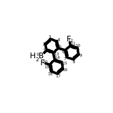 Bc1cccc(-c2ccccc2F)c1-c1ccccc1F